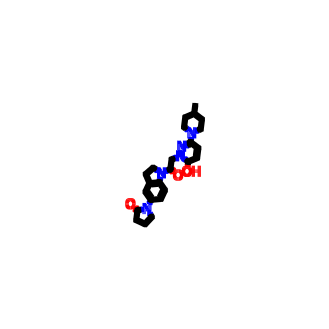 CC1CCN(C2=NN(CC(=O)N3CCc4cc(N5CCCC5=O)ccc43)C(O)C=C2)CC1